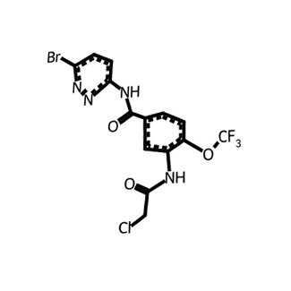 O=C(CCl)Nc1cc(C(=O)Nc2ccc(Br)nn2)ccc1OC(F)(F)F